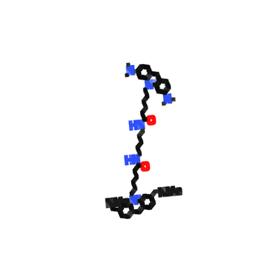 CNCc1ccc2cc3ccc(CNC)cc3[n+](CCCCCC(=O)NCCCCCNC(=O)CCCCC[n+]3c4cc(N(C)C)ccc4cc4ccc(N(C)C)cc43)c2c1